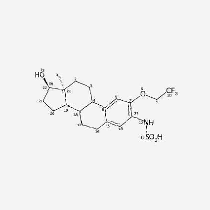 C[C@]12CCC3c4cc(OCC(F)(F)F)c(NS(=O)(=O)O)cc4CCC3C1CC[C@H]2O